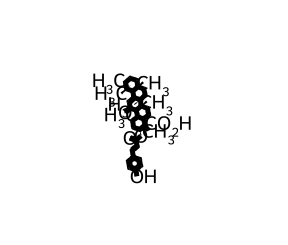 C[C@@H]1CC[C@]2(C)CC[C@]3(C)C(=CC(=O)C4[C@@]5(C)CC[C@@H](OC(=O)/C=C/c6ccc(O)cc6)[C@](C)(C(=O)O)C5CC[C@]43C)C2[C@H]1C